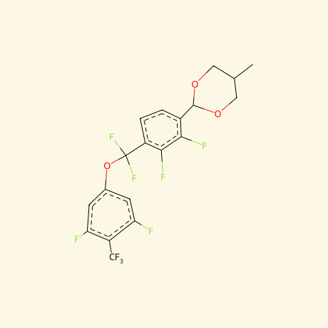 CC1COC(c2ccc(C(F)(F)Oc3cc(F)c(C(F)(F)F)c(F)c3)c(F)c2F)OC1